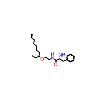 C=CCCCCCC(CC)OCCNC(=O)[C@@H](N)Cc1ccccc1